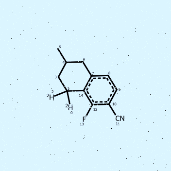 [2H]C1([2H])CC(C)Cc2ccc(C#N)c(F)c21